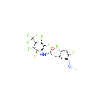 NCc1cc(CC(=O)Nc2c(F)c(F)c(C(F)(F)F)c(F)c2F)c(F)cc1F